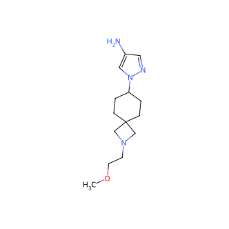 COCCN1CC2(CCC(n3cc(N)cn3)CC2)C1